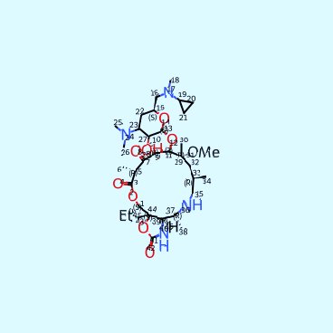 CC[C@@H]1OC(=O)[C@H](C)C(=O)[C@H](C)[C@@H](O[C@@H]2O[C@H](CN(C)C3CC3)CC(N(C)C)C2O)[C@](C)(OC)C[C@@H](C)CN[C@H](C)[C@H]2NC(=O)O[C@]12C